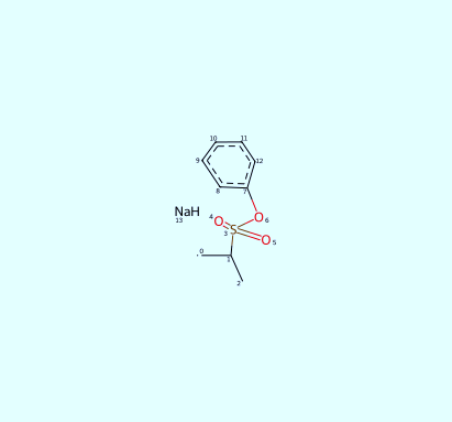 [CH2]C(C)S(=O)(=O)Oc1ccccc1.[NaH]